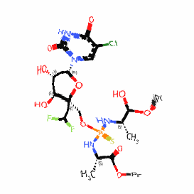 CC(C)OC(=O)[C@H](C)NP(=S)(N[C@@H](C)C(O)OC(C)C)OC[C@@]1(C(F)F)O[C@@H](n2cc(Cl)c(=O)[nH]c2=O)[C@@H](O)[C@@H]1O